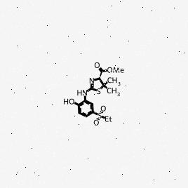 CCS(=O)(=O)c1ccc(O)c(NC2=N[C@@H](C(=O)OC)C(C)(C)S2)c1